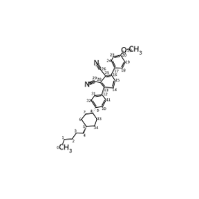 CCCCC[C@H]1CC[C@H](c2ccc(-c3ccc(-c4ccc(OC)cc4)c(C#N)c3C#N)cc2)CC1